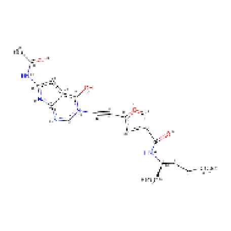 CCOC(=O)CC[C@H](NC(=O)c1coc(C#Cn2cnc3nc(NC(=O)C(C)(C)C)cc-3c2O)c1)C(=O)OCC